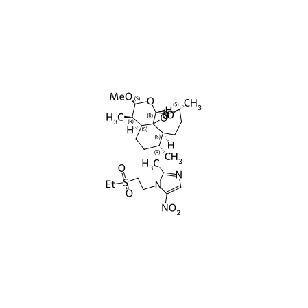 CCS(=O)(=O)CCn1c([N+](=O)[O-])cnc1C.CO[C@H]1O[C@@H]2O[C@]3(C)CC[C@H]4[C@H](C)CC[C@@H]([C@H]1C)C24OO3